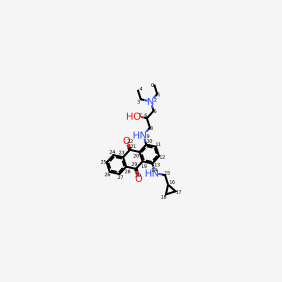 CCN(CC)CC(O)CNc1ccc(NCC2CC2)c2c1C(=O)c1ccccc1C2=O